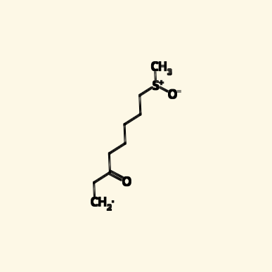 [CH2]CC(=O)CCCCC[S+](C)[O-]